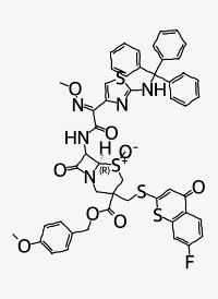 CON=C(C(=O)NC1C(=O)N2CC(CSc3cc(=O)c4ccc(F)cc4s3)(C(=O)OCc3ccc(OC)cc3)C[S+]([O-])[C@H]12)c1csc(NC(c2ccccc2)(c2ccccc2)c2ccccc2)n1